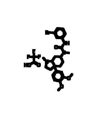 COc1ccc(C23CCC(N(C)C(=O)Nc4cccc(Br)c4)CC2N(C)CC3)cc1OC.O=C(O)C(F)(F)F